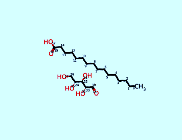 CCCCCCCCCCCCCCCC(=O)O.O=C[C@H](O)[C@H](O)[C@H](O)CO